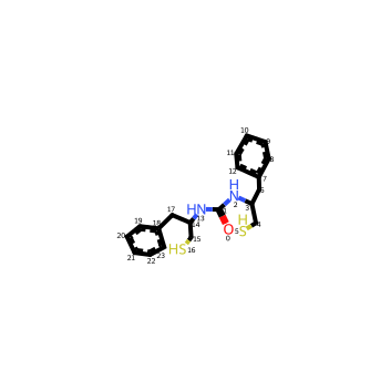 O=C(NC(CS)Cc1ccccc1)NC(CS)Cc1ccccc1